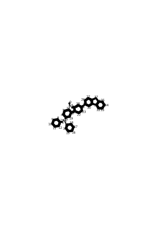 Cn1c2ccc(N(c3ccccc3)c3ccccc3)cc2c2ccc(-c3ccc4c(c3)-c3ccccc3C4)cc21